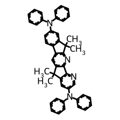 CC1(C)c2cc(N(c3ccccc3)c3ccccc3)cnc2-c2nc3c(cc21)-c1ccc(N(c2ccccc2)c2ccccc2)cc1C3(C)C